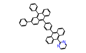 c1ccc(-c2ccc3c(-c4ccc(-c5c6ccccc6c(-c6ncccn6)c6ccccc56)cc4)c4ccccc4c(-c4ccccc4)c3c2)cc1